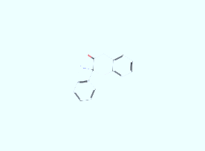 NC1(c2ccccc2)Oc2ccccc2CC1=O